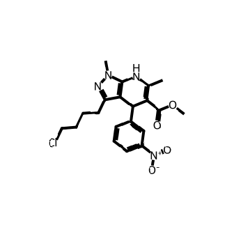 COC(=O)C1=C(C)Nc2c(c(CCCCCl)nn2C)C1c1cccc([N+](=O)[O-])c1